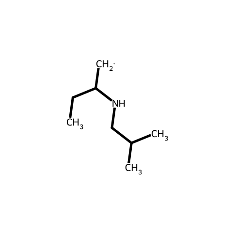 [CH2]C(CC)NCC(C)C